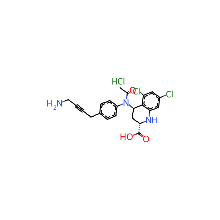 CC(=O)N(c1ccc(CC#CCN)cc1)[C@@H]1C[C@@H](C(=O)O)Nc2cc(Cl)cc(Cl)c21.Cl